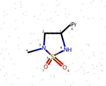 CC(C)C1CN(C)S(=O)(=O)N1